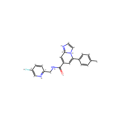 Cc1ccc(-c2cc(C(=O)NCc3ccc(F)cn3)cc3nccn23)cc1